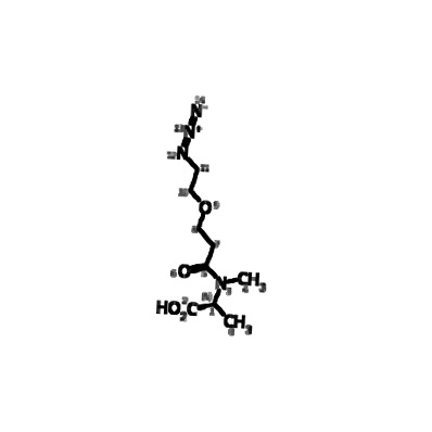 C[C@@H](C(=O)O)N(C)C(=O)CCOCCN=[N+]=[N-]